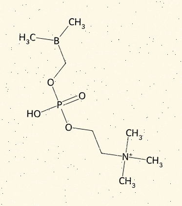 CB(C)COP(=O)(O)OCC[N+](C)(C)C